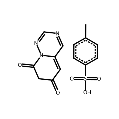 Cc1ccc(S(=O)(=O)O)cc1.O=C1C=C2C=NC=NN2C(=O)C1